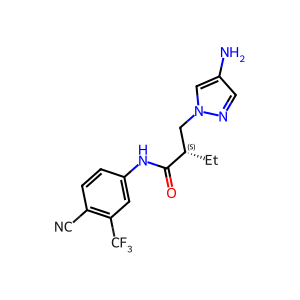 CC[C@@H](Cn1cc(N)cn1)C(=O)Nc1ccc(C#N)c(C(F)(F)F)c1